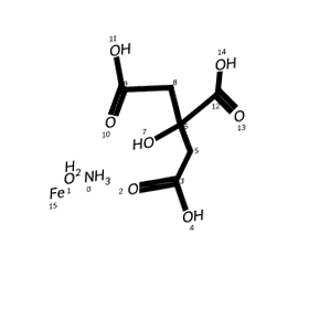 N.O.O=C(O)CC(O)(CC(=O)O)C(=O)O.[Fe]